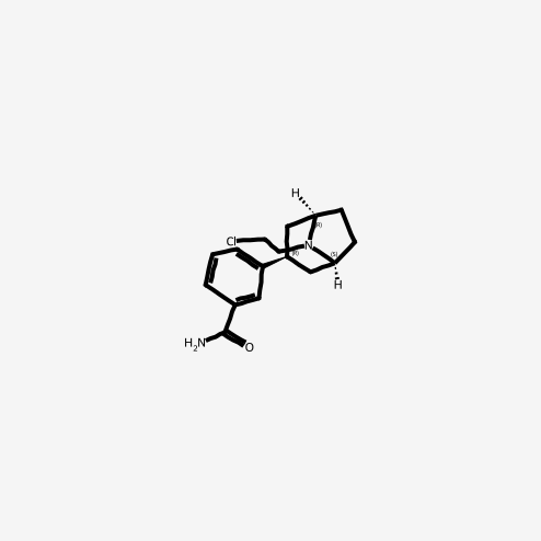 NC(=O)c1cccc([C@H]2C[C@H]3CC[C@@H](C2)N3CCCl)c1